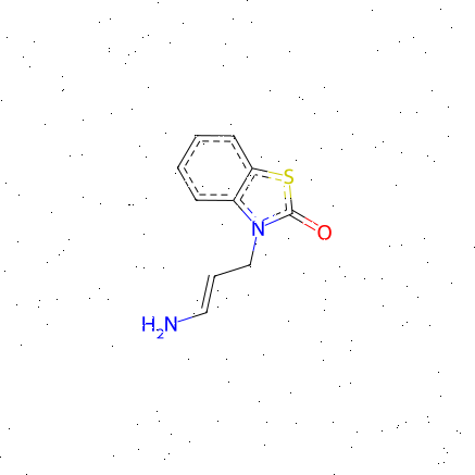 NC=CCn1c(=O)sc2ccccc21